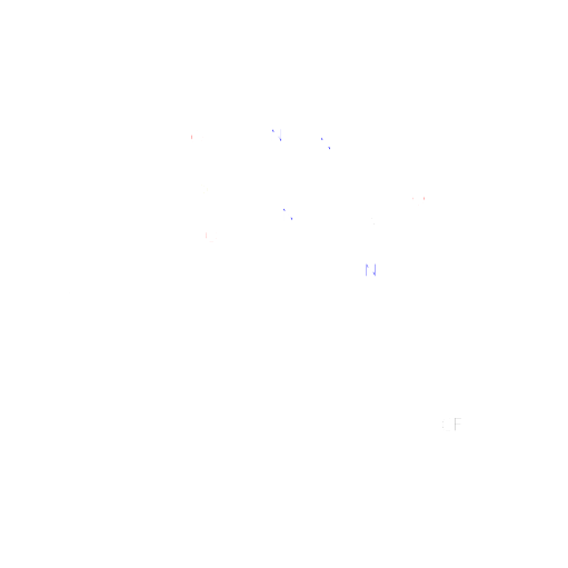 Cc1c(-n2ccn3c(S(=O)(=O)Cc4ccccc4)nnc3c2=O)cccc1C(F)(F)F